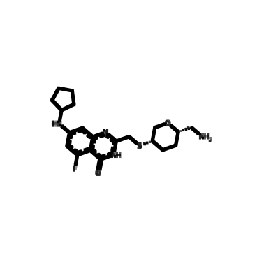 NC[C@@H]1CC[C@H](SCc2nc3cc(NC4CCCC4)cc(F)c3c(=O)[nH]2)CO1